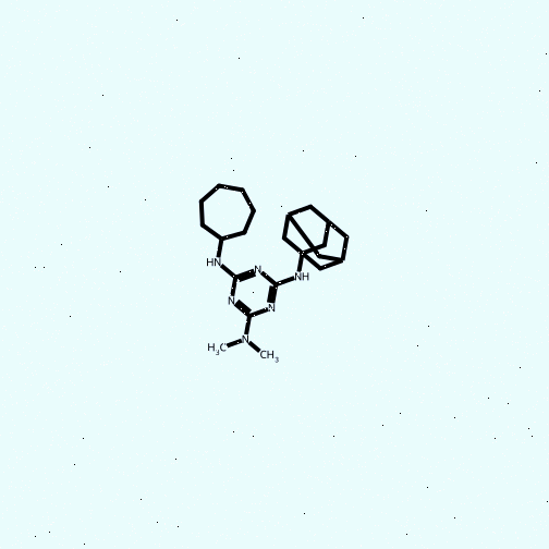 CN(C)c1nc(NC2CCCCCC2)nc(NC23CC4CC(CC(C4)C2)C3)n1